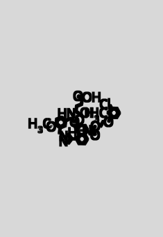 COc1ccc(C(=O)NC(CCC(=O)O)C(=O)O)cc1Cn1cc(-c2cccc3c2[C@H]2C[C@H]2CN3C(=O)OCCOc2cccc(Cl)c2C)cn1